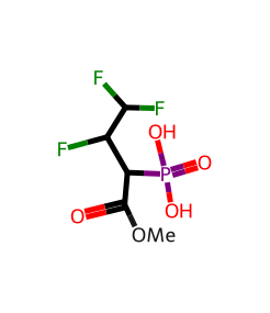 COC(=O)C(C(F)C(F)F)P(=O)(O)O